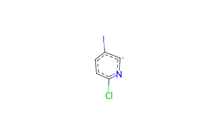 Clc1ccc(I)[c]n1